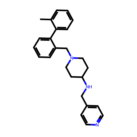 Cc1ccccc1-c1ccccc1CN1CCC(NCc2ccncc2)CC1